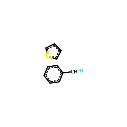 Cc1ccccc1.F.c1ccsc1